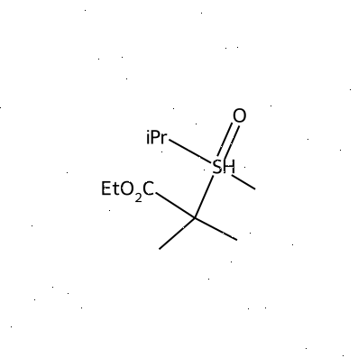 CCOC(=O)C(C)(C)[SH](C)(=O)C(C)C